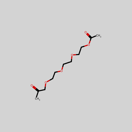 CC(=O)COCCOCCOCCOC(C)=O